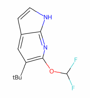 CC(C)(C)c1cc2cc[nH]c2nc1OC(F)F